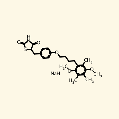 COc1c(C)c(C)c(OC)c(CCCCOc2ccc(CC3SC(=O)NC3=O)cc2)c1C.[NaH]